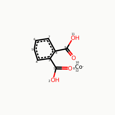 O=C(O)c1ccccc1C(=O)O.[Co]